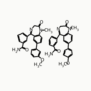 COc1ccc(-c2ccc3c(c2)C(c2cccc(C(N)=O)c2)=NCC(=O)N3C)cc1.COc1cccc(-c2ccc3c(c2)C(c2cccc(C(N)=O)c2)=NCC(=O)N3C)c1